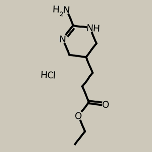 CCOC(=O)CCC1CN=C(N)NC1.Cl